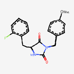 COc1ccc(CN2C(=O)NC(Cc3ccccc3F)C2=O)cc1